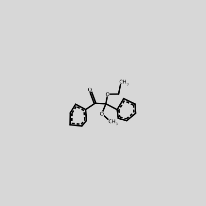 CCOC(OC)(C(=O)c1ccccc1)c1ccccc1